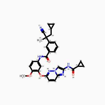 COc1ccc(NC(=O)c2cccc(C(C)(C#N)CC3CC3)c2)cc1Oc1ccc2nc(NC(=O)C3CC3)cn2n1